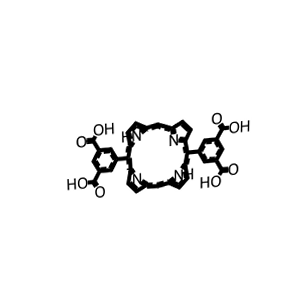 O=C(O)c1cc(C(=O)O)cc(-c2c3nc(cc4ccc([nH]4)c(-c4cc(C(=O)O)cc(C(=O)O)c4)c4nc(cc5ccc2[nH]5)C=C4)C=C3)c1